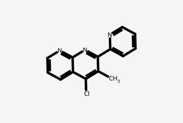 Cc1c(-c2ccccn2)nc2ncccc2c1Cl